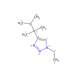 CCn1cc(C(C)(C)C(C)C)nn1